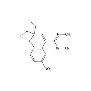 CN=C(NC#N)C1=CC(CF)(CF)Oc2ccc([N+](=O)[O-])cc21